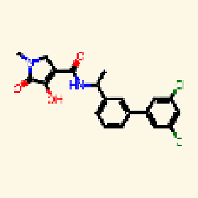 CC(NC(=O)C1=C(O)C(=O)N(C)C1)c1cccc(-c2cc(Cl)cc(Cl)c2)c1